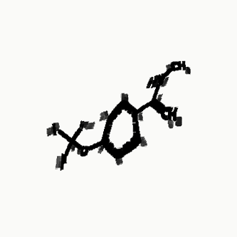 C=C(NC)c1ccc(OC(F)(F)F)cc1